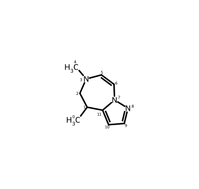 CC1CN(C)C=Cn2nccc21